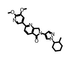 COc1cc(-c2ccc3c(n2)CN(c2cnn(C4CCCCC4C)c2)C3=O)cnc1OC